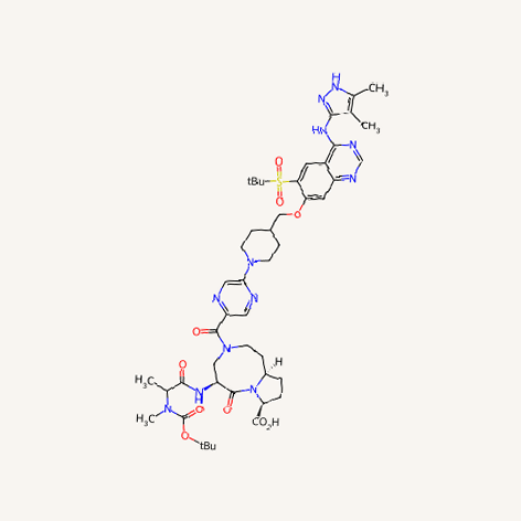 Cc1[nH]nc(Nc2ncnc3cc(OCC4CCN(c5cnc(C(=O)N6CC[C@H]7CC[C@@H](C(=O)O)N7C(=O)[C@@H](NC(=O)C(C)N(C)C(=O)OC(C)(C)C)C6)cn5)CC4)c(S(=O)(=O)C(C)(C)C)cc23)c1C